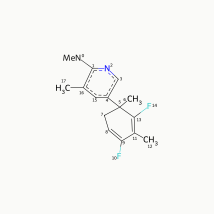 CNc1ncc(C2(C)CC=C(F)C(C)=C2F)cc1C